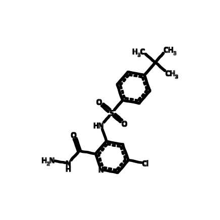 CC(C)(C)c1ccc(S(=O)(=O)Nc2cc(Cl)cnc2C(=O)NN)cc1